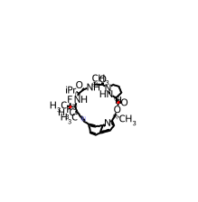 CC(C)[C@@H]1N[C@H](C(C)(F)F)C(C)(C)/C=C/c2ccc3ccc(nc3c2)[C@@H](C)OC(=O)[C@@H]2CCCN(N2)C(=O)[C@H](C)NC1=O